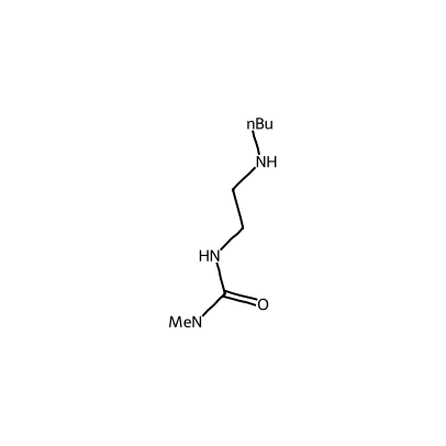 CCCCNCCNC(=O)NC